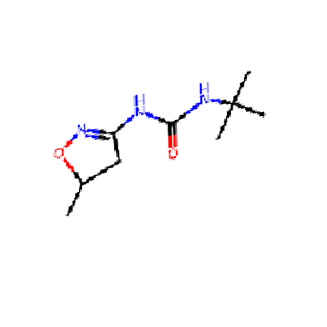 CC1CC(NC(=O)NC(C)(C)C)=NO1